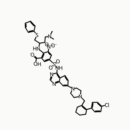 CN(C)CCC(CSc1ccccc1)Nc1c(C(=O)O)cc(S(=O)(=O)Nc2ncnc3cc(N4CCN(CC5=C(c6ccc(Cl)cc6)CCCC5)CC4)ccc23)cc1[N+](=O)[O-]